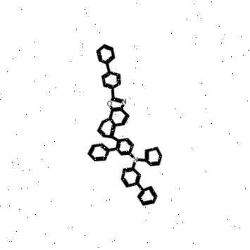 C1=CC(N(c2cccc(-c3ccccc3)c2)c2ccc(C3=C4C=Cc5nc(-c6ccc(-c7ccccc7)cc6)oc5C4CC=C3)c(-c3ccccc3)c2)=CCC1